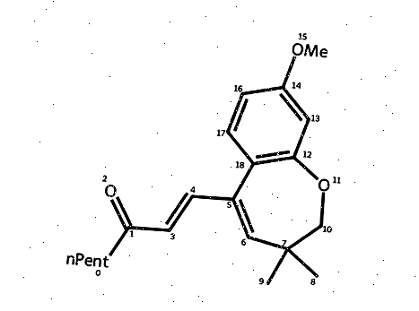 CCCCCC(=O)C=CC1=CC(C)(C)COc2cc(OC)ccc21